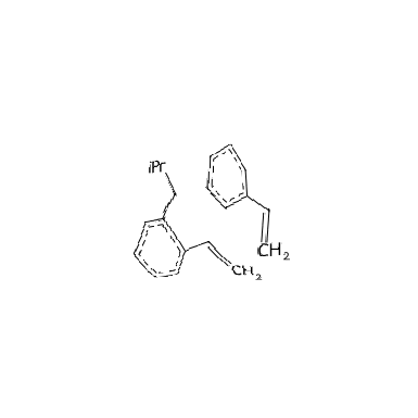 C=Cc1ccccc1.C=Cc1ccccc1CC(C)C